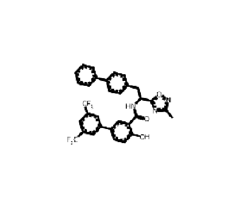 Cc1noc(C(Cc2ccc(-c3ccccc3)cc2)NC(=O)c2cc(-c3cc(C(F)(F)F)cc(C(F)(F)F)c3)ccc2O)n1